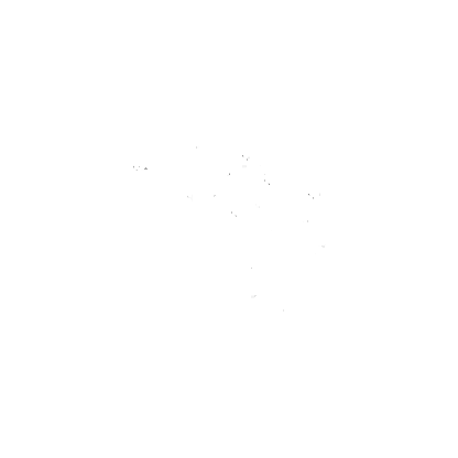 CSc1nc(Nc2ncnc3[se]c4c(c23)CCCC4)c([N+](=O)[O-])s1